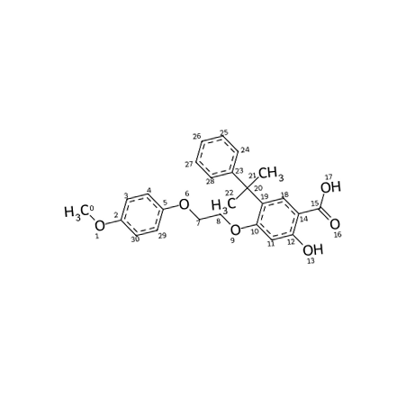 COc1ccc(OCCOc2cc(O)c(C(=O)O)cc2C(C)(C)c2ccccc2)cc1